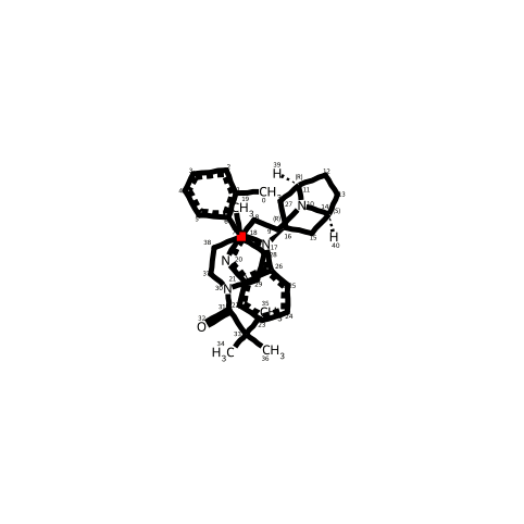 Cc1ccccc1C1(CCN2[C@@H]3CC[C@H]2C[C@@H](n2c(C)nc4ccccc42)C3)CCN(C(=O)C(C)(C)C)CC1